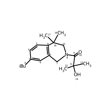 CCC(C)c1ccc2c(c1)CN(C(=O)C(C)(C)O)CC2(C)C